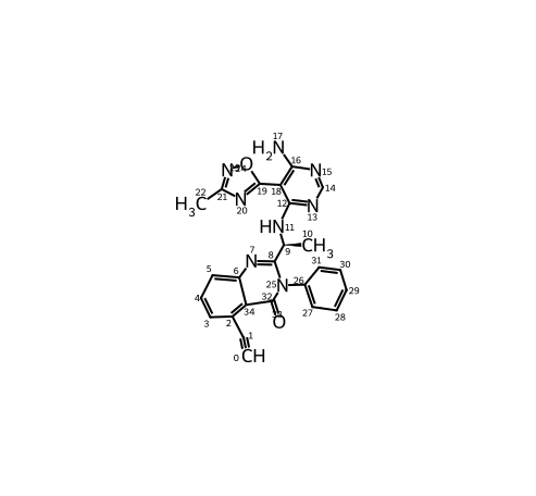 C#Cc1cccc2nc([C@H](C)Nc3ncnc(N)c3-c3nc(C)no3)n(-c3ccccc3)c(=O)c12